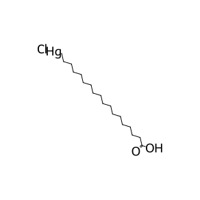 O=C(O)CCCCCCCCCCCCCCCC[CH2][Hg][Cl]